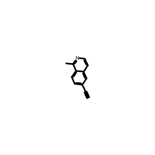 C#Cc1ccc2c(C)nccc2c1